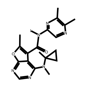 Cc1ncc(N(I)C(=O)c2c(C)oc3ncnc(N(C)C4(C)CC4)c23)nc1C